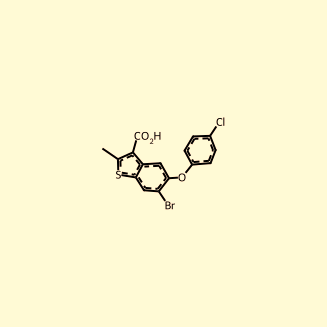 Cc1sc2cc(Br)c(Oc3ccc(Cl)cc3)cc2c1C(=O)O